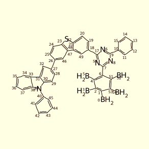 Bc1c(B)c(B)c(-c2nc(-c3ccccc3)nc(-c3ccc4sc5ccc(-c6ccc7c(c6)c6ccccc6n7-c6ccccc6)cc5c4c3)n2)c(B)c1B